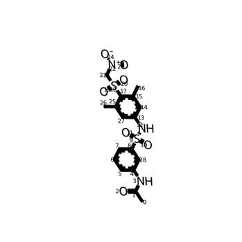 CC(=O)Nc1cccc(S(=O)(=O)Nc2cc(C)c(S(=O)(=O)C[N+](=O)[O-])c(C)c2)c1